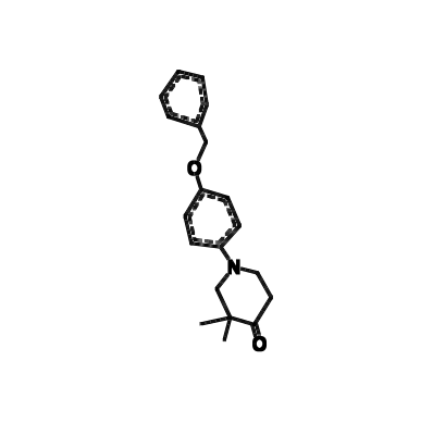 CC1(C)CN(c2ccc(OCc3ccccc3)cc2)CCC1=O